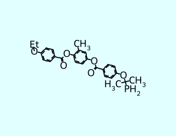 CCOc1ccc(C(=O)Oc2ccc(OC(=O)c3ccc(OC(C)(C)P)cc3)cc2C)cc1